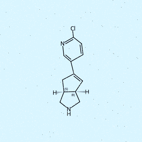 Clc1ccc(C2=C[C@H]3CNC[C@H]3C2)cn1